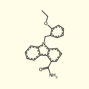 CCOc1ccccc1Cn1c2ccc[c]c2c2c(C(N)=O)cccc21